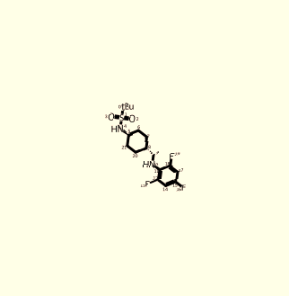 CC(C)(C)S(=O)(=O)N[C@H]1CC[C@H](CNc2c(F)cc(F)cc2F)CC1